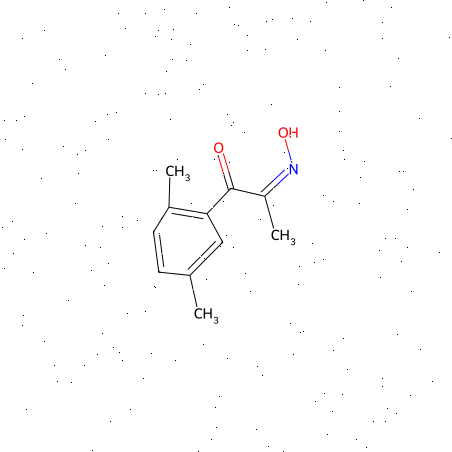 C/C(=N/O)C(=O)c1cc(C)ccc1C